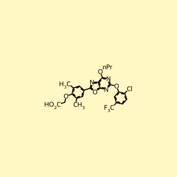 CCCOc1nc(Oc2cc(C(F)(F)F)ccc2Cl)nc2oc(-c3cc(C)c(OCC(=O)O)c(C)c3)nc12